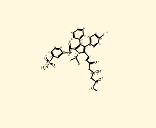 COC(=O)C[C@H](O)CC(=O)C=Cc1c(-c2ccc(F)cc2)c(-c2ccccc2)c(C(=O)Nc2cccc(S(N)(=O)=O)c2)n1C(C)C